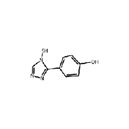 Oc1ccc(-c2nncn2S)cc1